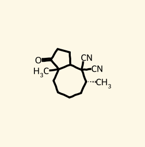 C[C@@H]1CCCCC2(C)C(=O)CCC2C1(C#N)C#N